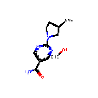 CNC1CCN(c2ncc(C(N)=O)cn2)C1.O=CO